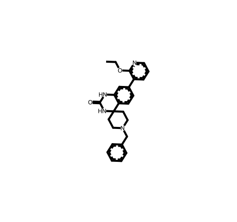 CCOc1ncccc1-c1ccc2c(c1)NC(=O)NC21CCN(Cc2ccccc2)CC1